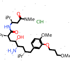 CNC(=O)C[C@@H](NC(=O)[C@@H](C[C@H](O)[C@@H](N)C[C@H](Cc1ccc(OC)c(OCCCOC)c1)C(C)C)C(C)C)C(C)C.Cl